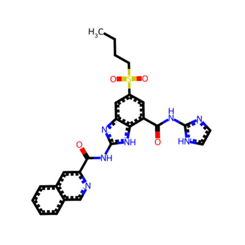 CCCCS(=O)(=O)c1cc(C(=O)Nc2ncc[nH]2)c2[nH]c(NC(=O)c3cc4ccccc4cn3)nc2c1